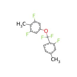 Cc1ccc(C(F)(F)Oc2cc(F)c(C)c(F)c2)c(F)c1